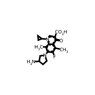 Cc1c(F)c(N2CCC(N)C2)c(C)c2c1c(=O)c(C(=O)O)cn2C1CC1